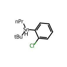 CC[CH2][SnH]([c]1ccccc1Cl)[C](C)(C)C